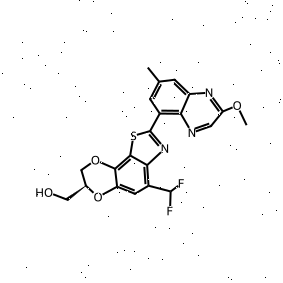 COc1cnc2c(-c3nc4c(C(F)F)cc5c(c4s3)OC[C@H](CO)O5)cc(C)cc2n1